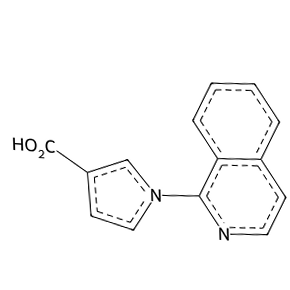 O=C(O)c1ccn(-c2nccc3ccccc23)c1